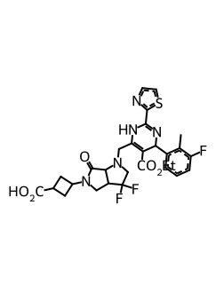 CCOC(=O)C1=C(CN2CC(F)(F)C3CN(C4CC(C(=O)O)C4)C(=O)C32)NC(c2nccs2)=NC1c1cccc(F)c1C